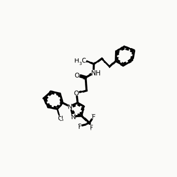 CC(CCc1ccccc1)NC(=O)COc1cc(C(F)(F)F)nn1-c1ccccc1Cl